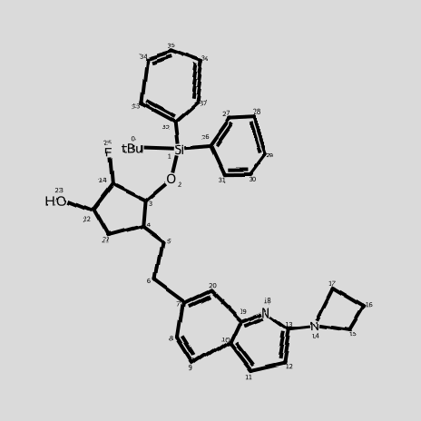 CC(C)(C)[Si](OC1C(CCc2ccc3ccc(N4CCC4)nc3c2)CC(O)C1F)(c1ccccc1)c1ccccc1